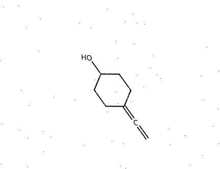 C=C=C1CCC(O)CC1